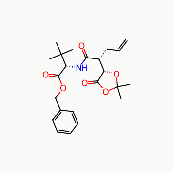 C=CC[C@@H](C(=O)N[C@H](C(=O)OCc1ccccc1)C(C)(C)C)[C@@H]1OC(C)(C)OC1=O